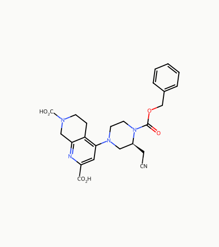 N#CC[C@H]1CN(c2cc(C(=O)O)nc3c2CCN(C(=O)O)C3)CCN1C(=O)OCc1ccccc1